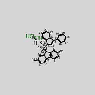 Cc1ccc2c(c1)[CH]([Zr]([CH3])([CH3])(=[SiH2])[CH]1C=C(c3ccccc3)c3ccccc31)c1cc(C)ccc1-2.Cl.Cl